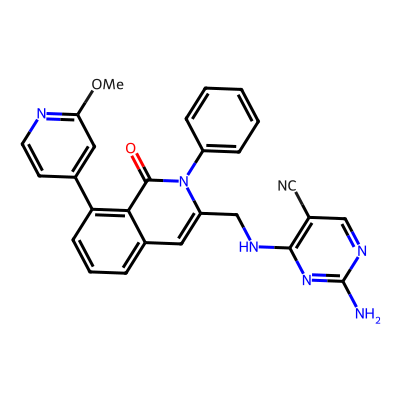 COc1cc(-c2cccc3cc(CNc4nc(N)ncc4C#N)n(-c4ccccc4)c(=O)c23)ccn1